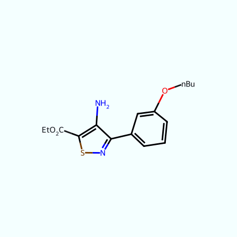 CCCCOc1cccc(-c2nsc(C(=O)OCC)c2N)c1